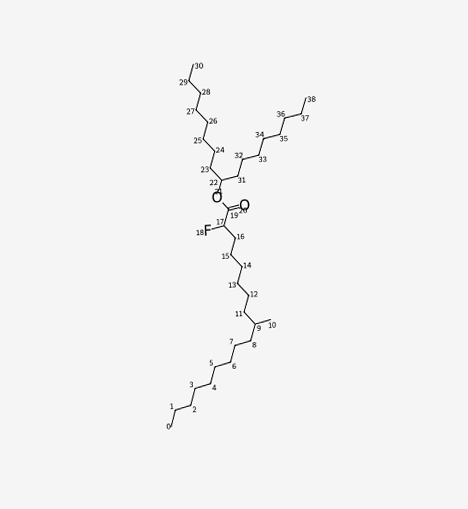 CCCCCCCCCC(C)CCCCCCC(F)C(=O)OC(CCCCCCCC)CCCCCCCC